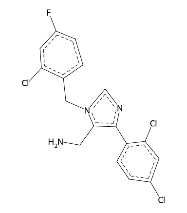 NCc1c(-c2ccc(Cl)cc2Cl)ncn1Cc1ccc(F)cc1Cl